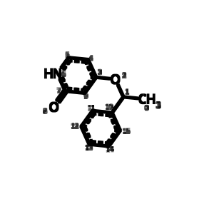 CC(Oc1cc[nH]c(=O)c1)c1ccccc1